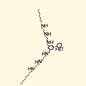 CCCCCCCCNCCCNCCCNCc1cc(CNCCCNCCCNCCCCCCCC)cc(-c2ccccc2)c1.Cl